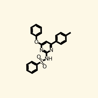 Cc1ccc(-c2cc(Oc3ccccc3)nc(NS(=O)(=O)c3ccccc3)n2)cc1